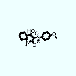 COc1ccc(S(=O)(=O)c2c(O)c3ccccc3n(C)c2=O)cc1